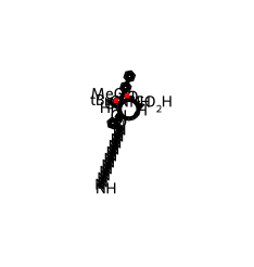 CO[C@@]1(c2ccc(-c3ccccc3)cc2)C[C@H]2C(=O)N[C@]3(C(=O)O)C[C@H]3/C=C\CCCN(S(=O)(=O)c3ccccc3\N=N/N=N/N=N/N=N/N=N/N=N/N=N/N=N/N=N/N=N)C[C@H](NC(=O)OC(C)(C)C)C(=O)N2C1